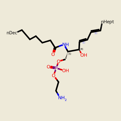 CCCCCCC/C=C/C=C/[C@@H](O)[C@H](COP(=O)(O)OCCN)NC(=O)CCCCCCCCCCCCCCC